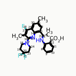 Cc1cc([C@H](C)Nc2ccccc2C(=O)O)c2nc(N3CCC(F)(F)CC3)c(C)c(F)c2c1